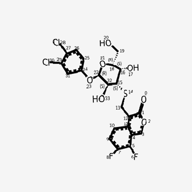 O=c1occ2c(F)c(F)ccc2c1CS[C@H]1[C@@H](O)[C@@H](CO)O[C@H](Oc2ccc(Cl)c(Cl)c2)[C@@H]1O